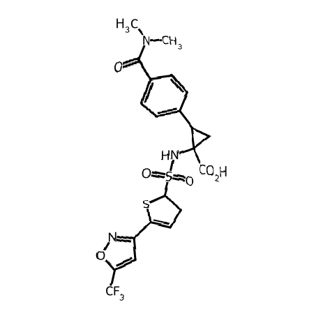 CN(C)C(=O)c1ccc(C2CC2(NS(=O)(=O)C2CC=C(c3cc(C(F)(F)F)on3)S2)C(=O)O)cc1